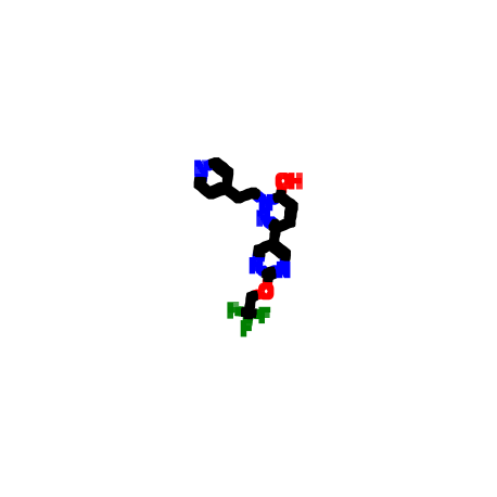 OC1C=CC(c2cnc(OCC(F)(F)F)nc2)=NN1CCc1ccncc1